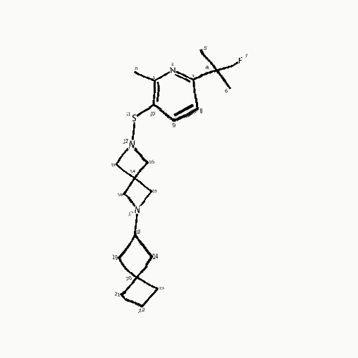 Cc1nc(C(C)(C)F)ccc1SN1CC2(C1)CN(C1CC3(CCC3)C1)C2